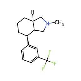 CN1CC2[C@@H](CCC[C@@H]2c2cccc(C(F)(F)F)c2)C1